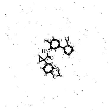 O=C(Nc1cc(-c2ccccc2Cl)ccc1F)C1(c2ccc3c(c2)OCO3)CC1